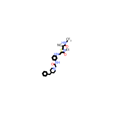 CCn1c(=C(C#N)C(=O)NCC(F)(F)F)sc(=CNc2cccc(NC(=O)CN3CCC(Cc4ccccc4)CC3)c2)c1=O